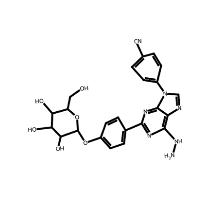 N#Cc1ccc(-n2cnc3c(NN)nc(-c4ccc(OC5OC(CO)C(O)C(O)C5O)cc4)nc32)cc1